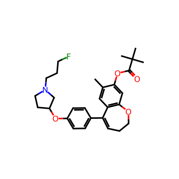 Cc1cc2c(cc1OC(=O)C(C)(C)C)OCCC=C2c1ccc(OC2CCN(CCCF)C2)cc1